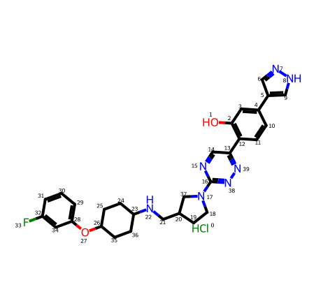 Cl.Oc1cc(-c2cn[nH]c2)ccc1-c1cnc(N2CCC(CNC3CCC(Oc4cccc(F)c4)CC3)C2)nn1